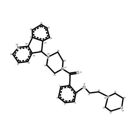 O=C(c1ccccc1OCCN1CCOCC1)N1CCN(C2c3ccccc3-c3ncccc32)CC1